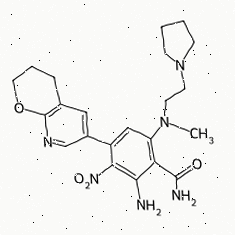 CN(CCN1CCCC1)c1cc(-c2cnc3c(c2)CCCO3)c([N+](=O)[O-])c(N)c1C(N)=O